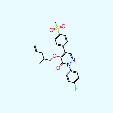 C=CCC(C)COc1c(-c2ccc(S(C)(=O)=O)cc2)cnn(-c2ccc(F)cc2)c1=O